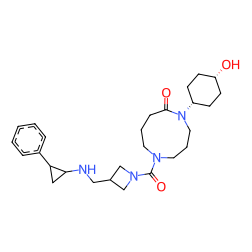 O=C(N1CCCC(=O)N([C@H]2CC[C@@H](O)CC2)CCC1)N1CC(CNC2CC2c2ccccc2)C1